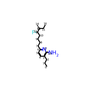 CCCc1ccc(CCCCC(F)[C@@H](C)CC)nc1N